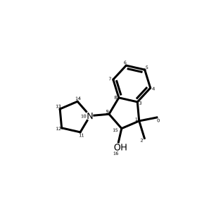 CC1(C)c2ccccc2C(N2CCCC2)C1O